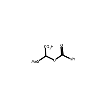 CCCC(=O)OC(SC)C(=O)O